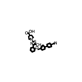 Cc1sc(N2CCC(C(=O)O)CC2)nc1-c1ccccc1OCc1ccc(-c2ccc(C#N)cc2)cc1